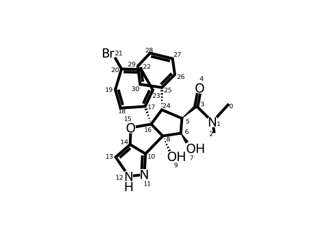 CN(C)C(=O)[C@H]1[C@@H](O)[C@@]2(O)c3n[nH]cc3O[C@@]2(c2ccc(Br)cc2)[C@@H]1c1ccccc1